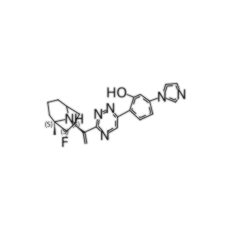 C=C(c1ncc(-c2ccc(-n3ccnc3)cc2O)nn1)[C@@H]1CC2CCC[C@](C)(N2)[C@H]1F